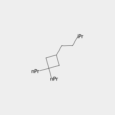 CCCC1(CCC)CC(CCC(C)C)C1